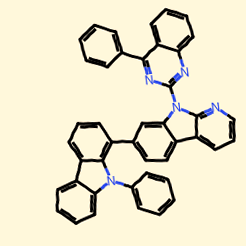 c1ccc(-c2nc(-n3c4cc(-c5cccc6c7ccccc7n(-c7ccccc7)c56)ccc4c4cccnc43)nc3ccccc23)cc1